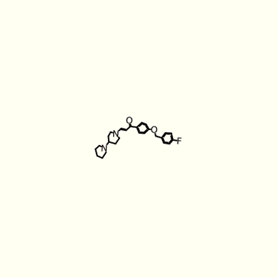 O=C(C=CN1CCC(N2CCCCC2)CC1)c1ccc(OCc2ccc(F)cc2)cc1